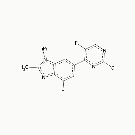 Cc1nc2c(F)cc(-c3nc(Cl)ncc3F)cc2n1C(C)C